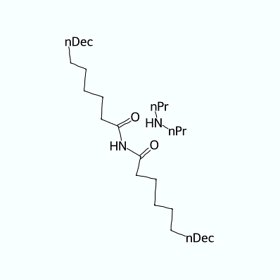 CCCCCCCCCCCCCCCC(=O)NC(=O)CCCCCCCCCCCCCCC.CCCNCCC